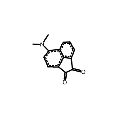 CN(C)c1ccc2c3c(cccc13)C(=O)C2=O